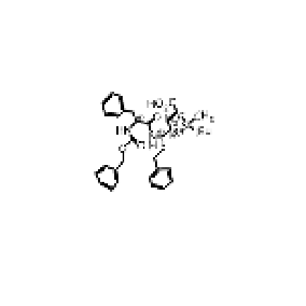 CC(C)(C)[Si](C)(C)O[C@H](C=CC(=O)O)[C@H](CCc1ccccc1)NC(=O)[C@H](Cc1ccccc1)NC(=O)OCc1ccccc1